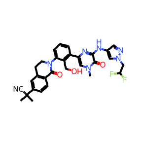 Cn1cc(-c2cccc(N3CCc4cc(C(C)(C)C#N)ccc4C3=O)c2CO)nc(Nc2cnn(CC(F)F)c2)c1=O